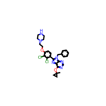 CC1(Oc2ncnc3c2nc(-c2ccc(OCCN4CCNCC4)c(Cl)c2Cl)n3Cc2ccccc2)CC1